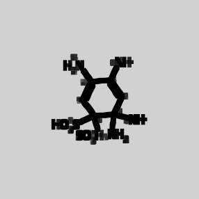 [NH]C1=CC([NH])(N)C(S(=O)(=O)O)(S(=O)(=O)O)C=C1N